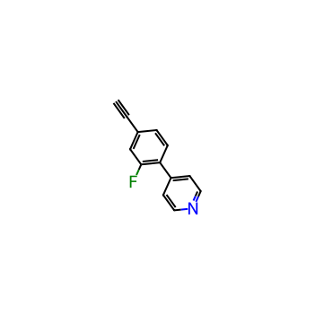 C#Cc1ccc(-c2ccncc2)c(F)c1